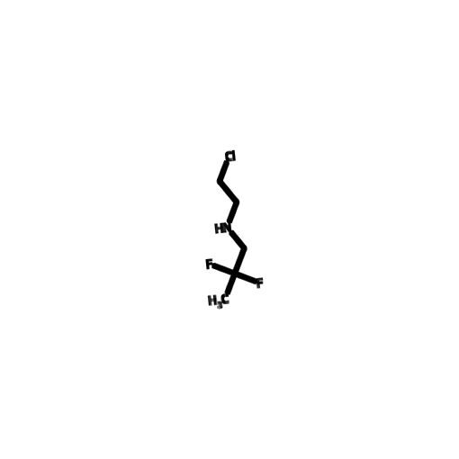 CC(F)(F)CNCCCl